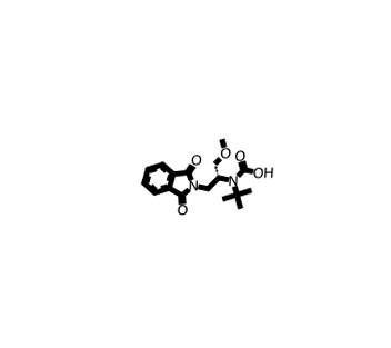 COC[C@@H](CN1C(=O)c2ccccc2C1=O)N(C(=O)O)C(C)(C)C